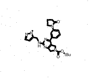 Cn1nccc1CNc1nc2c(c(-c3cccc(N4CCCC4=O)c3)n1)CN(C(=O)OC(C)(C)C)C2